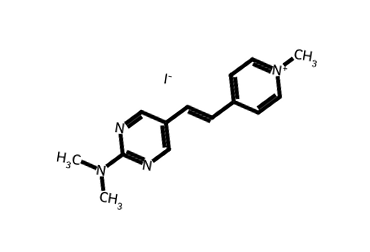 CN(C)c1ncc(/C=C/c2cc[n+](C)cc2)cn1.[I-]